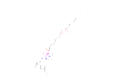 CCCCNOCCCCCCOCCCCCCO